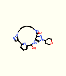 O=C1NCCCCCCn2cc(cn2)-c2cccc(n2)C(O)Nc2cn(C3CCOCC3)nc21